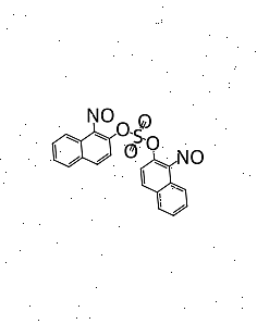 O=Nc1c(OS(=O)(=O)Oc2ccc3ccccc3c2N=O)ccc2ccccc12